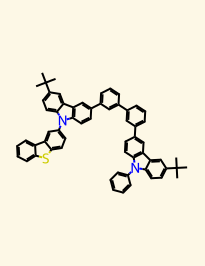 CC(C)(C)c1ccc2c(c1)c1cc(-c3cccc(-c4cccc(-c5ccc6c(c5)c5cc(C(C)(C)C)ccc5n6-c5ccc6sc7ccccc7c6c5)c4)c3)ccc1n2-c1ccccc1